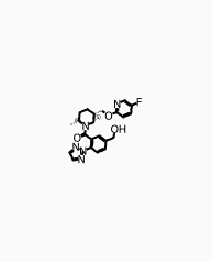 C[C@@H]1CC[C@H](COc2ccc(F)cn2)CN1C(=O)c1cc(CO)ccc1-n1nccn1